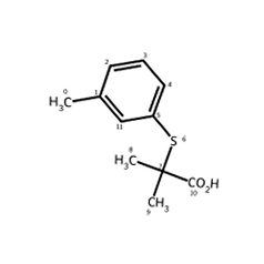 Cc1cccc(SC(C)(C)C(=O)O)c1